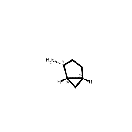 N[C@@H]1CC[C@@H]2C[C@@H]21